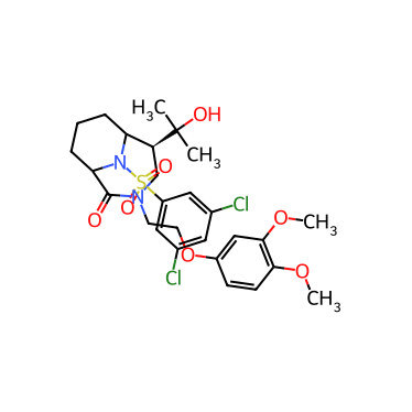 COc1ccc(OCCN2C[C@H](C(C)(C)O)C3CCCC(C2=O)N3S(=O)(=O)c2cc(Cl)cc(Cl)c2)cc1OC